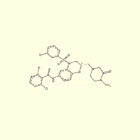 CN1CCN(C[C@H]2CN(S(=O)(=O)c3cccc(Cl)c3)c3cc(NC(=O)c4c(Cl)cccc4Cl)ccc3O2)CC1=O